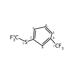 FC(F)(F)Sc1c[c]cc(C(F)(F)F)c1